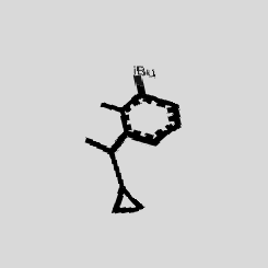 CCC(C)c1cccc(C(C)C2CC2)c1C